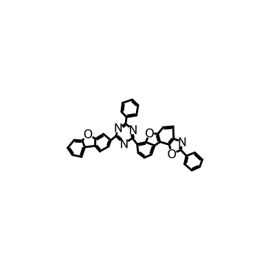 c1ccc(-c2nc(-c3ccc4c(c3)oc3ccccc34)nc(-c3cccc4c3oc3ccc5nc(-c6ccccc6)oc5c34)n2)cc1